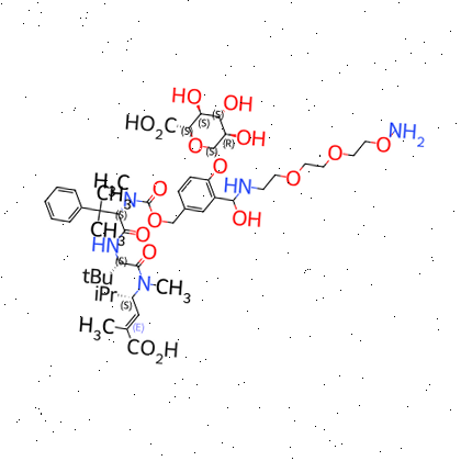 C/C(=C\[C@H](C(C)C)N(C)C(=O)[C@@H](NC(=O)[C@@H](N(C)C(=O)OCc1ccc(O[C@@H]2O[C@H](C(=O)O)[C@@H](O)[C@H](O)[C@H]2O)c(C(O)NCCOCCOCCON)c1)C(C)(C)c1ccccc1)C(C)(C)C)C(=O)O